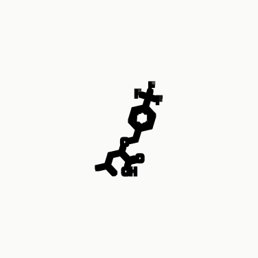 CC(C)CC(OCc1ccc(C(F)(F)F)cc1)C(=O)O